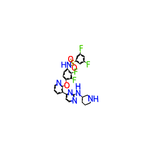 O=S(=O)(Nc1ccc(Oc2ncccc2-c2ccnc(NC3CCCNC3)n2)c(F)c1F)c1cc(F)cc(F)c1